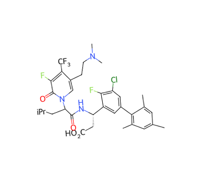 Cc1cc(C)c(-c2cc(Cl)c(F)c([C@H](CC(=O)O)NC(=O)C(CC(C)C)n3cc(CCN(C)C)c(C(F)(F)F)c(F)c3=O)c2)c(C)c1